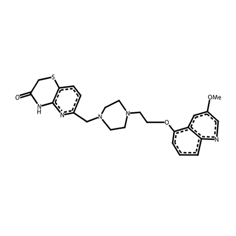 COc1cnc2cccc(OCCN3CCN(Cc4ccc5c(n4)NC(=O)CS5)CC3)c2c1